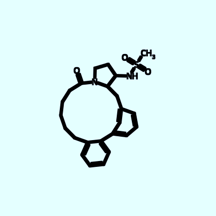 CS(=O)(=O)NC1CCN2C(=O)CCCCCc3ccccc3-c3cccc(c3)CC12